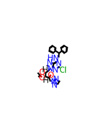 CC1(C)O[C@@H]2C(Cn3nccn3)OC(n3cnc4c(NCC(c5ccccc5)c5ccccc5)nc(Cl)nc43)[C@@H]2O1